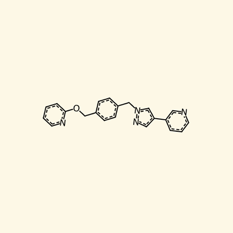 c1ccc(OCc2ccc(Cn3cc(-c4cccnc4)cn3)cc2)nc1